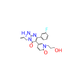 C=CCn1c(N)nc(-c2cccc(F)c2)c(-c2ccc(=O)n(CCCO)c2)c1=O